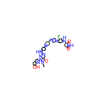 C=CCn1c(=O)c2cnc(Nc3ccc(N4CCC(CN5CCN(c6ccc(NC7CCC(=O)NC7=O)cc6F)CC5)CC4)cc3)nc2n1-c1ccc2c(n1)[C@@](C)(O)CC2